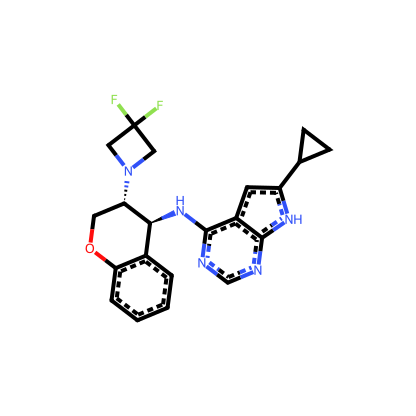 FC1(F)CN([C@H]2COc3ccccc3[C@@H]2Nc2ncnc3[nH]c(C4CC4)cc23)C1